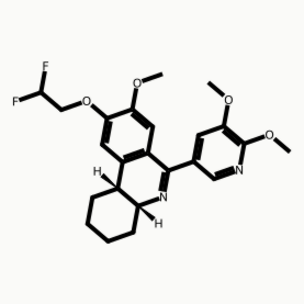 COc1cc2c(cc1OCC(F)F)[C@H]1CCCC[C@H]1N=C2c1cnc(OC)c(OC)c1